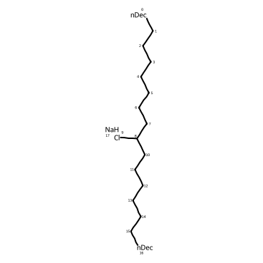 CCCCCCCCCCCCCCCCCC(Cl)CCCCCCCCCCCCCCCC.[NaH]